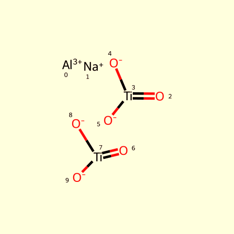 [Al+3].[Na+].[O]=[Ti]([O-])[O-].[O]=[Ti]([O-])[O-]